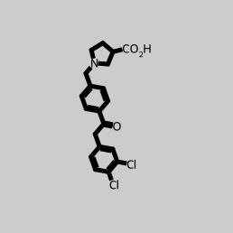 O=C(Cc1ccc(Cl)c(Cl)c1)c1ccc(CN2CCC(C(=O)O)C2)cc1